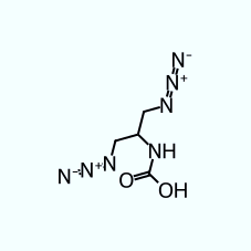 [N-]=[N+]=NCC(CN=[N+]=[N-])NC(=O)O